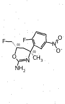 C[C@@]1(c2cc([N+](=O)[O-])ccc2F)C[C@@H](CF)OC(N)=N1